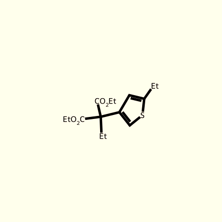 CCOC(=O)C(CC)(C(=O)OCC)c1csc(CC)c1